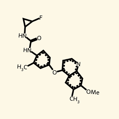 COc1cc2nccc(Oc3ccc(NC(=O)NC4CC4F)c(C)c3)c2cc1C